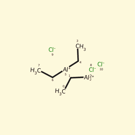 C[CH2][Al+2].C[CH2][Al+][CH2]C.[Cl-].[Cl-].[Cl-]